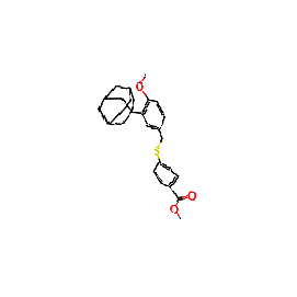 COC(=O)c1ccc(SCc2ccc(OC)c(C34CC5CC(CC(C5)C3)C4)c2)cc1